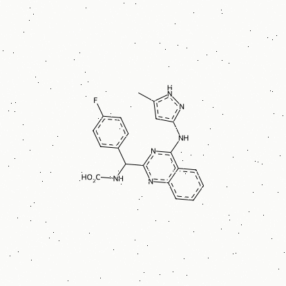 Cc1cc(Nc2nc(C(NC(=O)O)c3ccc(F)cc3)nc3ccccc23)n[nH]1